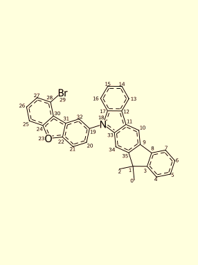 CC1(C)c2ccccc2-c2cc3c4ccccc4n(-c4ccc5oc6cccc(Br)c6c5c4)c3cc21